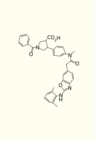 Cc1cccc(C)c1Nc1nc2ccc(CC(=O)N(C)c3ccc(C4CN(C(=O)c5ccccc5)CC4C(=O)O)cc3)cc2o1